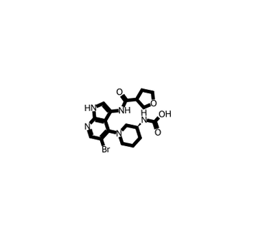 O=C(O)N[C@@H]1CCCN(c2c(Br)cnc3[nH]cc(NC(=O)C4CCOC4)c23)C1